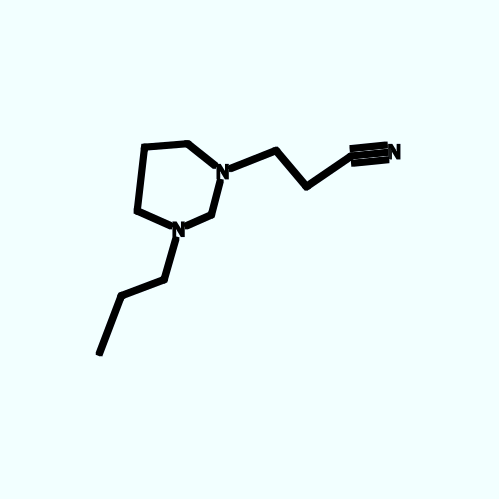 CCCN1CCCN(CCC#N)C1